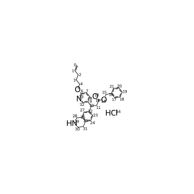 C=CCCCOc1ccc(C(CC(=O)OCc2ccccc2)c2ccc3c(c2)CNCC3)cn1.Cl